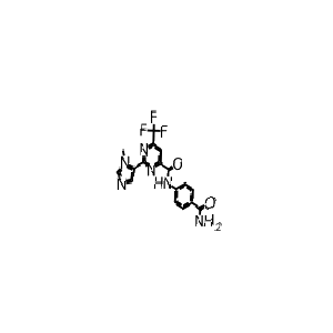 Cn1cncc1-c1nc(C(=O)Nc2ccc(C(N)=O)cc2)cc(C(F)(F)F)n1